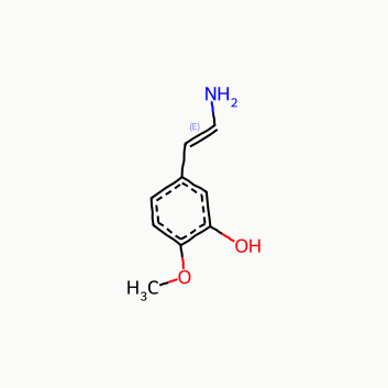 COc1ccc(/C=C/N)cc1O